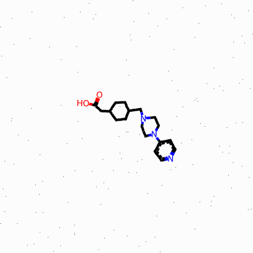 O=C(O)CC1CCC(CN2CCN(c3ccncc3)CC2)CC1